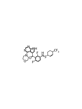 O=C(c1c(F)ccc(NSC2C=CC(C(F)(F)F)CC2)c1F)c1c[nH]c2ncnc(N3CCOCC3)c12